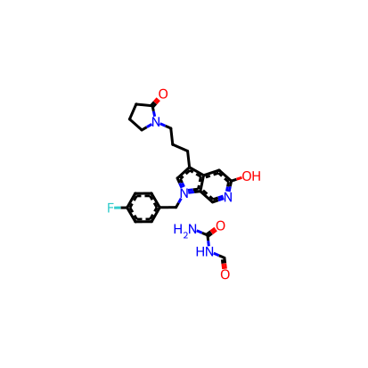 NC(=O)NC=O.O=C1CCCN1CCCc1cn(Cc2ccc(F)cc2)c2cnc(O)cc12